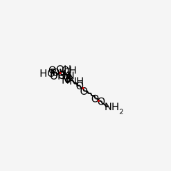 NCCCOCCOCCCCCOCCOCCCNc1ccnc2c1ncn2C1OC(COP(=O)(O)O)C(O)C1O